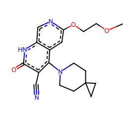 COCCOc1cc2c(N3CCC4(CC3)CC4)c(C#N)c(=O)[nH]c2cn1